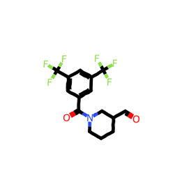 O=CC1CCCN(C(=O)c2cc(C(F)(F)F)cc(C(F)(F)F)c2)C1